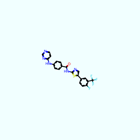 O=C(Nc1ncc(-c2ccc(F)c(C(F)(F)F)c2)s1)c1ccc(Nc2ccncn2)cc1